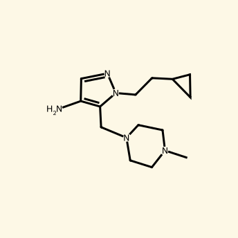 CN1CCN(Cc2c(N)cnn2CCC2CC2)CC1